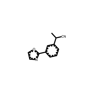 CC(C#N)c1cccc(-c2ncco2)c1